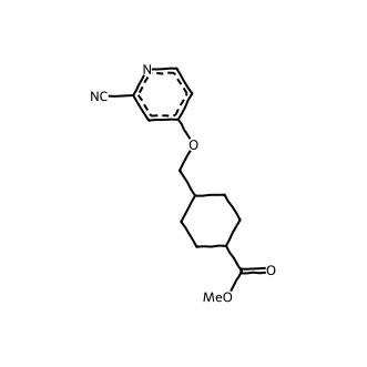 COC(=O)C1CCC(COc2ccnc(C#N)c2)CC1